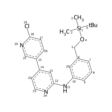 CC(C)(C)[Si](C)(C)OCc1cccc(Nc2cc(-c3ccc(Cl)nc3)ccn2)c1